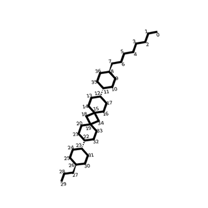 CCCCCCCC[C@H]1CC[C@H](C2CCC3(CC2)CC2(CCC([C@H]4CC[C@H](CCC)CC4)CC2)C3)CC1